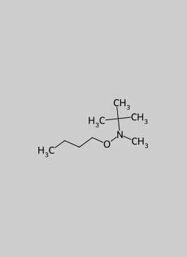 CCCCON(C)C(C)(C)C